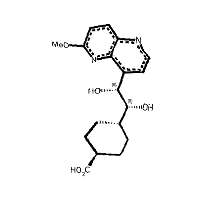 COc1ccc2nccc([C@@H](O)[C@H](O)[C@H]3CC[C@H](C(=O)O)CC3)c2n1